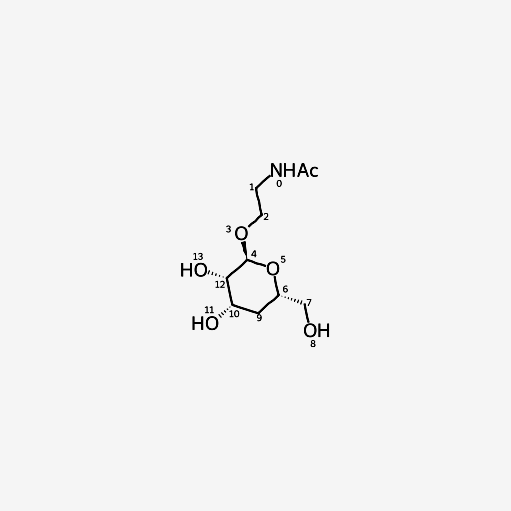 CC(=O)NCCO[C@H]1O[C@H](CO)C[C@H](O)[C@@H]1O